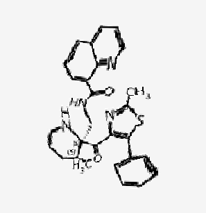 Cc1nc(C(=O)[C@]2(CNC(=O)c3cccc4cccnc34)NCCC[C@@H]2C)c(-c2ccccc2)s1